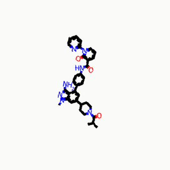 CC(C)C(=O)N1CCC(c2cc(-c3ccc(NC(=O)c4cccn(-c5ccccn5)c4=O)cc3)c3c(N)nn(C)c3c2)CC1